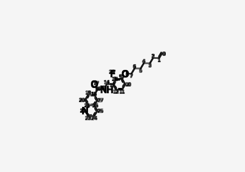 C=CCCCCCCOc1cccc(CNC(=O)c2ccc3ncccc3c2)c1F